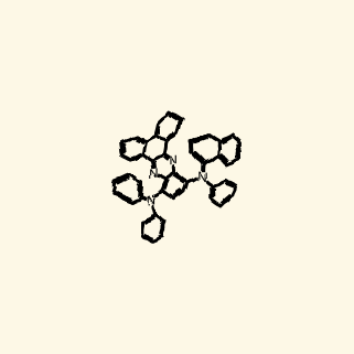 c1ccc(N(c2ccccc2)c2ccc(N(c3ccccc3)c3cccc4ccccc34)c3nc4c5ccccc5c5ccccc5c4nc23)cc1